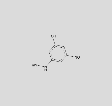 CCCNc1cc(O)cc(N=O)c1